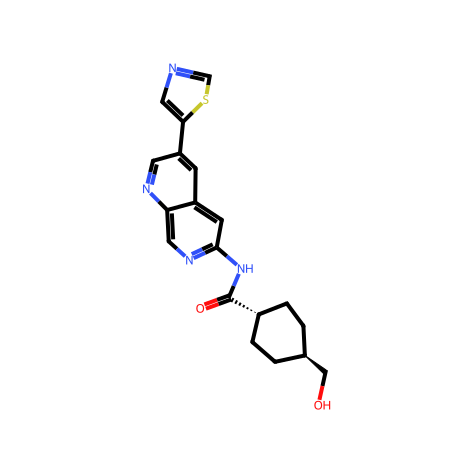 O=C(Nc1cc2cc(-c3cncs3)cnc2cn1)[C@H]1CC[C@H](CO)CC1